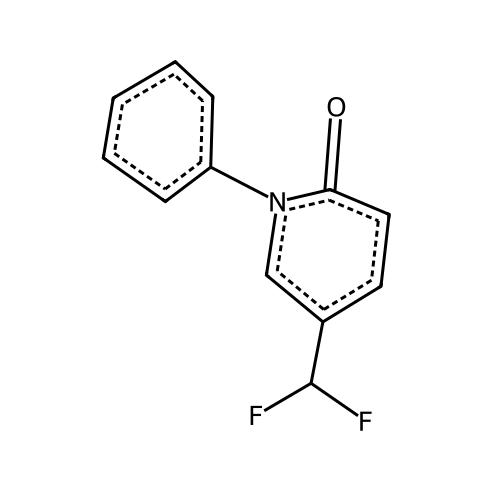 O=c1ccc(C(F)F)cn1-c1ccccc1